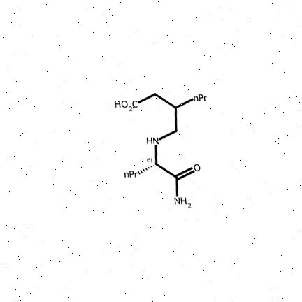 CCCC(CN[C@@H](CCC)C(N)=O)CC(=O)O